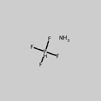 F[PH](F)(F)F.N